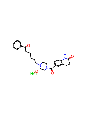 Cl.O.O=C1CCc2cc(C(=O)N3CCN(CCCCCC(=O)c4ccccc4)CC3)ccc2N1